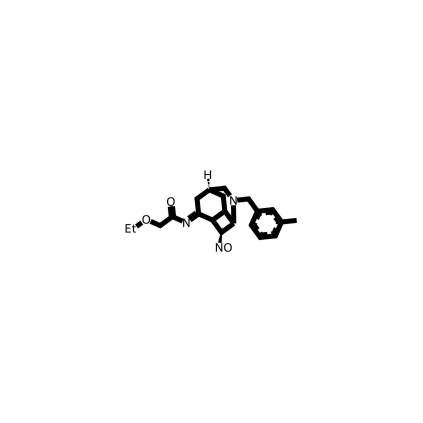 CCOCC(=O)/N=C1\C[C@@H]2CC3C1[C@H](N=O)C3N(Cc1cccc(C)c1)C2